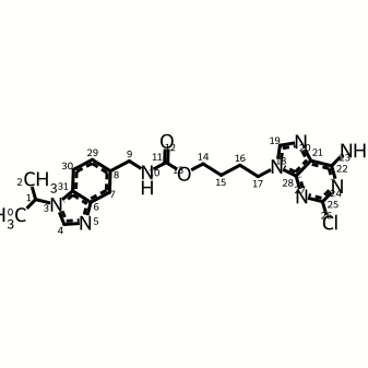 CC(C)n1cnc2cc(CNC(=O)OCCCCn3cnc4c(N)nc(Cl)nc43)ccc21